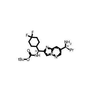 CC(C)[C@H](N)c1cnn2cc([C@@H](NC(=O)OC(C)(C)C)C3CCC(F)(F)CC3)nc2c1